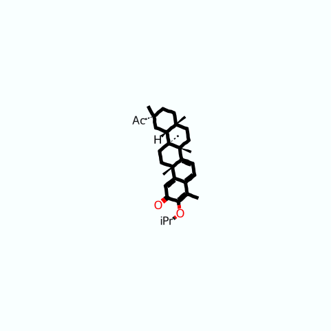 CC(=O)[C@]1(C)CC[C@]2(C)CC[C@]3(C)C4=CC=C5C(=CC(=O)C(OC(C)C)=C5C)[C@]4(C)CC[C@@]3(C)[C@@H]2C1